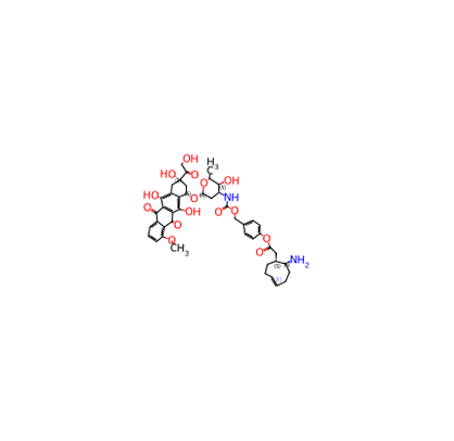 COc1cccc2c1C(=O)c1c(O)c3c(c(O)c1C2=O)C[C@@](O)(C(=O)CO)C[C@@H]3O[C@H]1CC(NC(=O)OCc2ccc(OC(=O)C[C@@H]3CC/C=C/CC[C@@H]3N)cc2)[C@H](O)C(C)O1